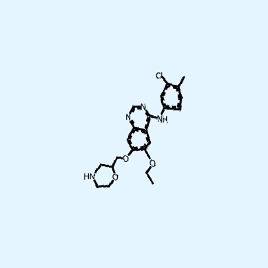 CCOc1cc2c(Nc3ccc(C)c(Cl)c3)ncnc2cc1OCC1CNCCO1